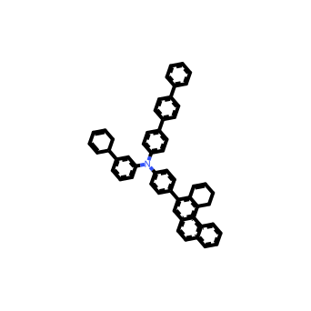 C1=CCC(c2cccc(N(c3ccc(-c4ccc(-c5ccccc5)cc4)cc3)c3ccc(-c4cc5ccc6ccccc6c5c5c4C=CCC5)cc3)c2)C=C1